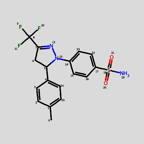 Cc1ccc(C2CC(C(F)(F)F)=NN2c2ccc(S(N)(=O)=O)cc2)cc1